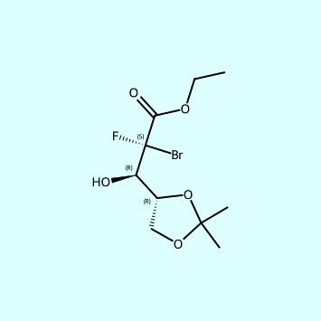 CCOC(=O)[C@@](F)(Br)[C@H](O)[C@H]1COC(C)(C)O1